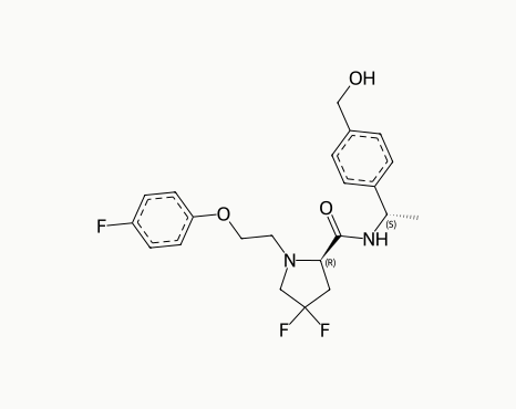 C[C@H](NC(=O)[C@H]1CC(F)(F)CN1CCOc1ccc(F)cc1)c1ccc(CO)cc1